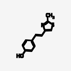 Cc1nc(C=Cc2ccc(O)cc2)cs1